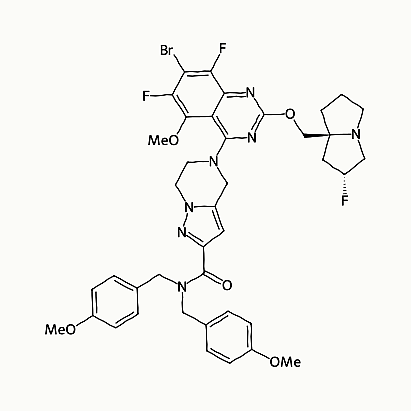 COc1ccc(CN(Cc2ccc(OC)cc2)C(=O)c2cc3n(n2)CCN(c2nc(OC[C@@]45CCCN4C[C@H](F)C5)nc4c(F)c(Br)c(F)c(OC)c24)C3)cc1